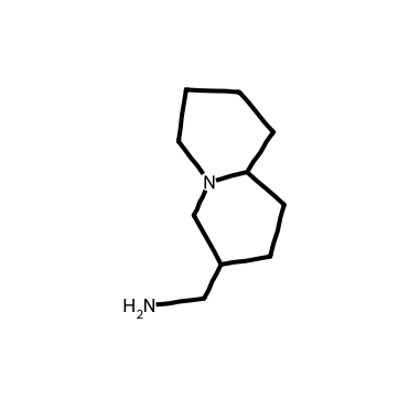 NCC1CCC2CCCCN2C1